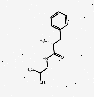 CC(C)CNC(=O)[C@H](N)Cc1ccccc1